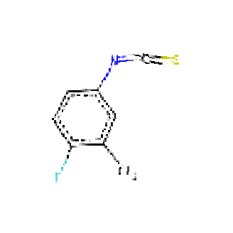 Fc1ccc(N=C=S)cc1C(F)(F)F